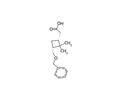 CC1(C)[C@H](COCc2ccccc2)C[C@@H]1CC(=O)O